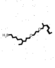 BCCCCCC(CC)CCCOCCCOCC(C)/C=C\C=C/C